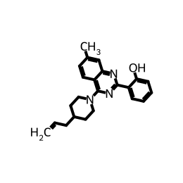 C=CCC1CCN(c2nc(-c3ccccc3O)nc3cc(C)ccc23)CC1